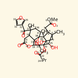 COC(=O)CC1C2(C)CC34OC5(C)OC67C(CC(=O)OC6C3(OC(=O)C(C)C)C2O)C(C)(C(=O)c2ccoc2)CCC7(O5)[C@]14C